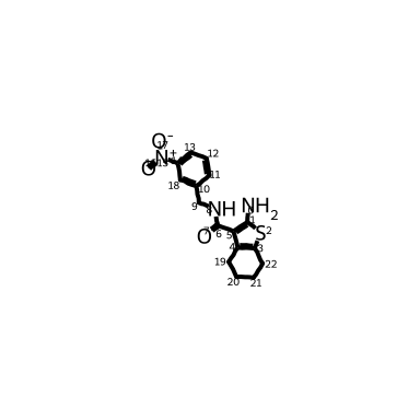 Nc1sc2c(c1C(=O)NCc1cccc([N+](=O)[O-])c1)CCCC2